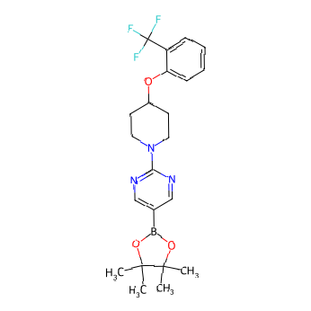 CC1(C)OB(c2cnc(N3CCC(Oc4ccccc4C(F)(F)F)CC3)nc2)OC1(C)C